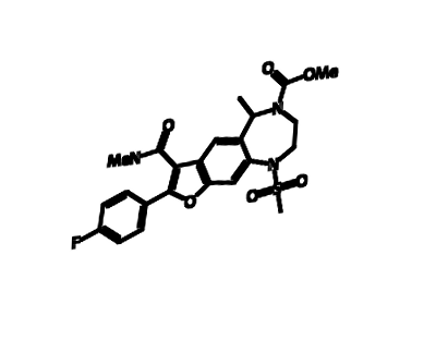 CNC(=O)c1c(-c2ccc(F)cc2)oc2cc3c(cc12)C(C)N(C(=O)OC)CCN3S(C)(=O)=O